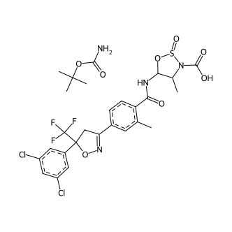 CC(C)(C)OC(N)=O.Cc1cc(C2=NOC(c3cc(Cl)cc(Cl)c3)(C(F)(F)F)C2)ccc1C(=O)NC1OS(=O)N(C(=O)O)C1C